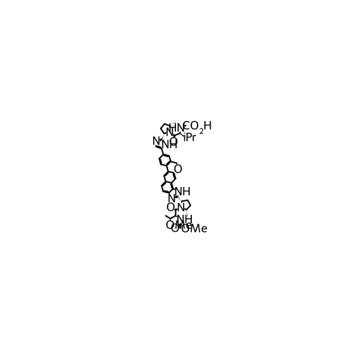 COC(=O)N[C@H](C(=O)N1[C@@H](C)CC[C@H]1c1nc2ccc3cc4c(cc3c2[nH]1)OCc1cc(-c2cnc([C@@H]3CC[C@H](C)N3C(=O)[C@@H](NC(=O)O)C(C)C)[nH]2)ccc1-4)[C@@H](C)OC